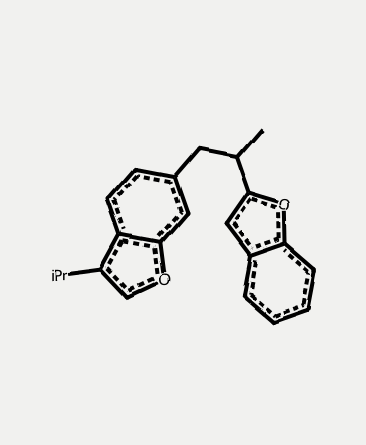 CC(C)c1coc2cc(CC(C)c3cc4ccccc4o3)ccc12